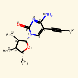 CCCC#Cc1cn([C@@H]2O[C@H](C)[C@@H](OC(C)=O)[C@H]2OC(C)=O)c(=O)nc1N